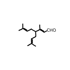 CC(C)=CCC(CC=C(C)C)/C(C)=C/C=O